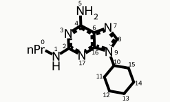 CCCNc1nc(N)c2ncn(C3CCCCC3)c2n1